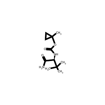 CC1(OC(=O)N[C@H](C(N)=O)C(C)(C)C)CC1